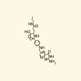 CCCNC(=O)CCC(NC(=O)c1ccc(NCc2cnc3nc(N)[nH]c(=O)c3n2)cc1)C(=O)O